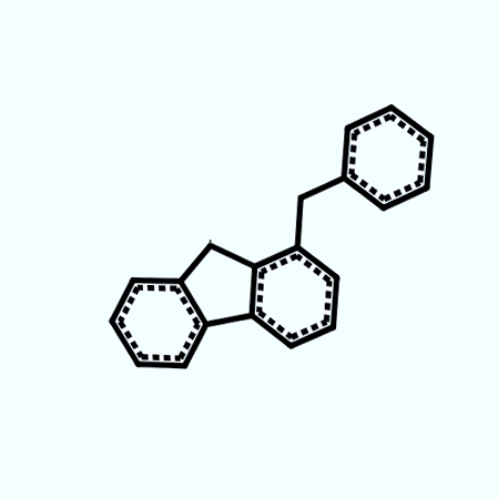 [CH]1c2ccccc2-c2cccc(Cc3ccccc3)c21